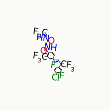 O=C(CNC(=O)c1ccc(/C(F)=C/C(c2ccc(Cl)c(F)c2)C(F)(F)F)cc1C(F)(F)F)NCC(F)(F)F